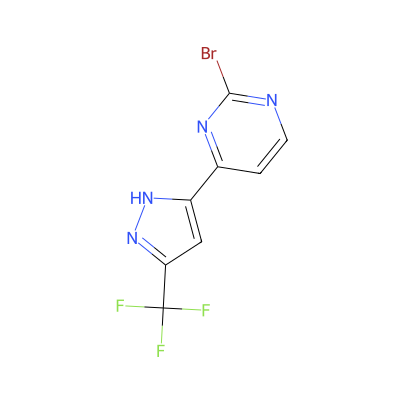 FC(F)(F)c1cc(-c2ccnc(Br)n2)[nH]n1